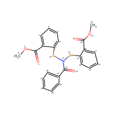 COC(=O)c1ccccc1SN(Sc1ccccc1C(=O)OC)C(=O)c1ccccc1